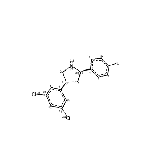 Cc1ccc([C@H]2C[C@@H](c3cc(Cl)cc(Cl)c3)CN2)cc1